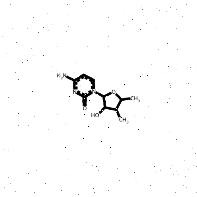 CC1OC(n2ccc(N)nc2=O)C(O)C1C